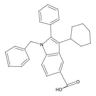 O=C(O)c1ccc2c(c1)c(C1CCCCC1)c(-c1ccccc1)n2Cc1ccccc1